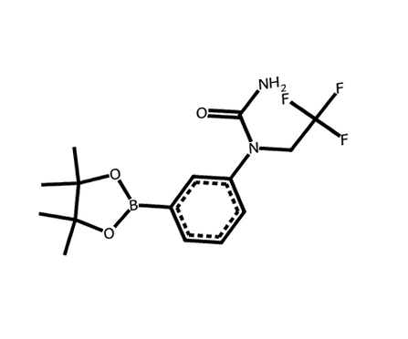 CC1(C)OB(c2cccc(N(CC(F)(F)F)C(N)=O)c2)OC1(C)C